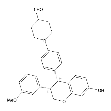 COc1cccc([C@H]2COc3cc(O)ccc3[C@H]2c2ccc(N3CCC(C=O)CC3)cc2)c1